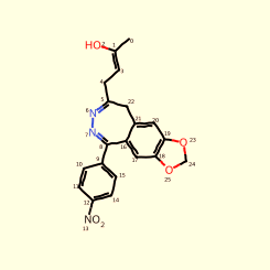 CC(O)=CCC1=NN=C(c2ccc([N+](=O)[O-])cc2)c2cc3c(cc2C1)OCO3